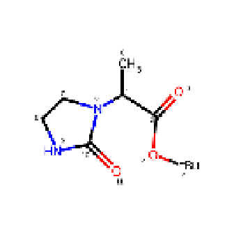 CC(C(=O)OC(C)(C)C)N1CCNC1=O